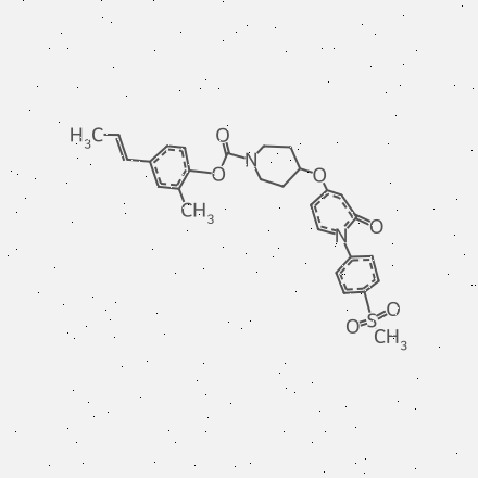 CC=Cc1ccc(OC(=O)N2CCC(Oc3ccn(-c4ccc(S(C)(=O)=O)cc4)c(=O)c3)CC2)c(C)c1